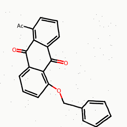 CC(=O)c1cccc2c1C(=O)c1cccc(OCc3ccccc3)c1C2=O